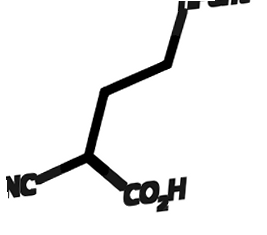 CCCCCCCC(C#N)C(=O)O